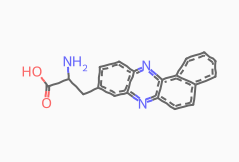 NC(Cc1ccc2nc3c(ccc4ccccc43)nc2c1)C(=O)O